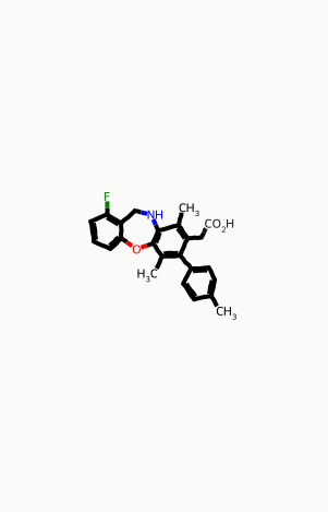 Cc1ccc(-c2c(C)c3c(c(C)c2CC(=O)O)NCc2c(F)cccc2O3)cc1